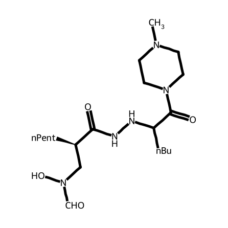 CCCCC[C@H](CN(O)C=O)C(=O)NNC(CCCC)C(=O)N1CCN(C)CC1